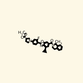 COC(=O)[C@H]1CCN(c2ccc(-c3nc4c(C5CC5)cc(C(=O)N5CCc6ccccc6C5C)cc4o3)c(F)c2)C1